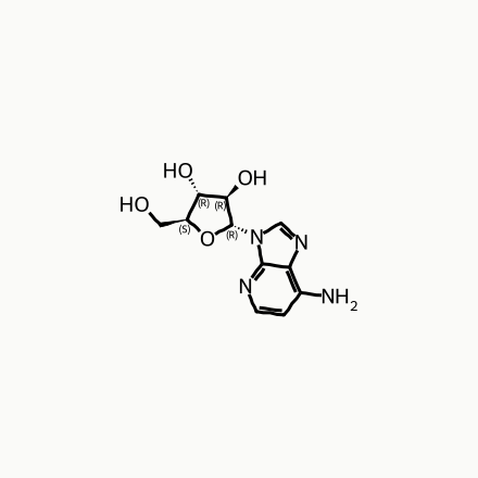 Nc1ccnc2c1ncn2[C@@H]1O[C@@H](CO)[C@H](O)[C@H]1O